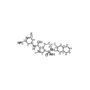 Cn1cc2c(c1C(O)Nc1cc(F)nc(C#N)c1)CC[C@H](Cc1ccc3ccccc3c1)NS2(=N)=O